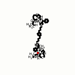 CN[C@@H](C)C(=O)N[C@H]1CCCC[C@H]2CC[C@@H](C(=O)N[C@@H](c3ccccc3)c3cn(CCCCc4ccc(CCCCN5CC(C)([C@@H](NC(=O)[C@@H]6CC[C@@H]7CCCC[C@H](NC(=O)[C@H](C)NC)C(=O)N76)c6ccccc6)N=N5)cc4)nn3)N2C1=O